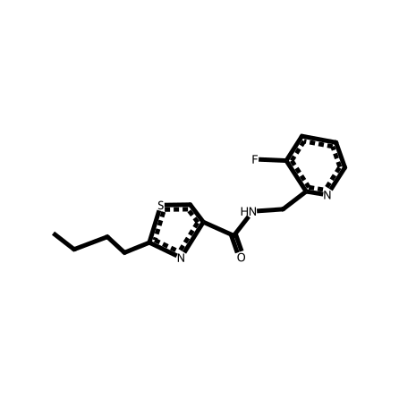 CCCCc1nc(C(=O)NCc2ncccc2F)cs1